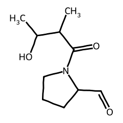 CC(O)C(C)C(=O)N1CCCC1C=O